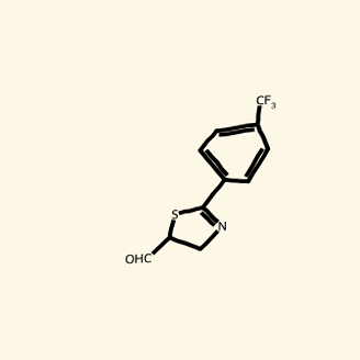 O=CC1CN=C(c2ccc(C(F)(F)F)cc2)S1